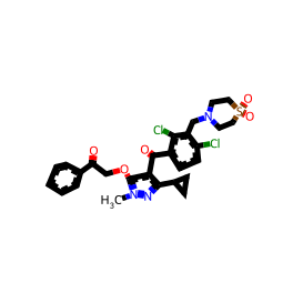 Cn1nc(C2CC2)c(C(=O)c2ccc(Cl)c(CN3CCS(=O)(=O)CC3)c2Cl)c1OCC(=O)c1ccccc1